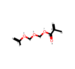 C=C(C)OCOCOC(=O)C(=C)C